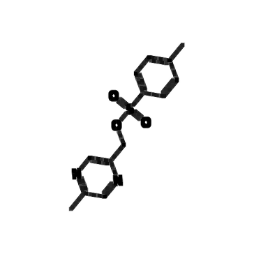 Cc1ccc(S(=O)(=O)OCc2cnc(C)cn2)cc1